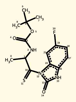 CC(NC(=O)OC(C)(C)C)C(=S)n1c(=O)[nH]c2ccc(F)cc21